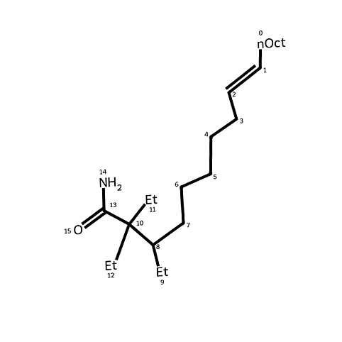 CCCCCCCCC=CCCCCCC(CC)C(CC)(CC)C(N)=O